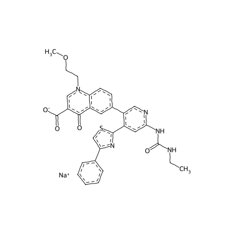 CCNC(=O)Nc1cc(-c2nc(-c3ccccc3)cs2)c(-c2ccc3c(c2)c(=O)c(C(=O)[O-])cn3CCOC)cn1.[Na+]